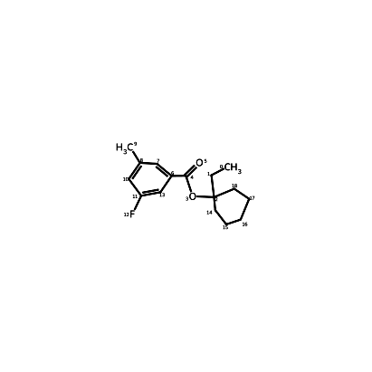 CCC1(OC(=O)c2cc(C)cc(F)c2)CCCCC1